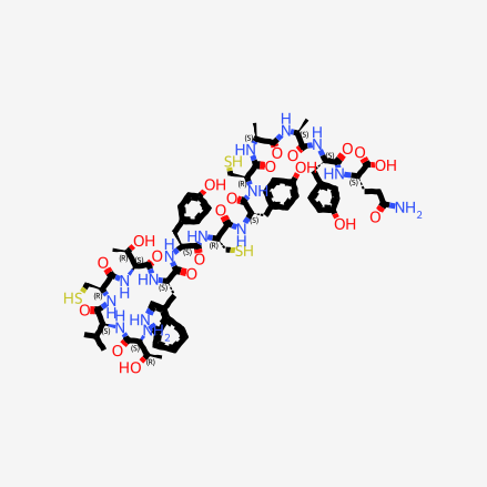 CC(C)[C@H](NC(=O)[C@@H](N)[C@@H](C)O)C(=O)N[C@@H](CS)C(=O)N[C@H](C(=O)N[C@@H](Cc1c[nH]c2ccccc12)C(=O)N[C@@H](Cc1ccc(O)cc1)C(=O)N[C@@H](CS)C(=O)N[C@@H](Cc1ccc(O)cc1)C(=O)N[C@@H](CS)C(=O)N[C@@H](C)C(=O)N[C@@H](C)C(=O)N[C@@H](Cc1ccc(O)cc1)C(=O)N[C@@H](CCC(N)=O)C(=O)O)[C@@H](C)O